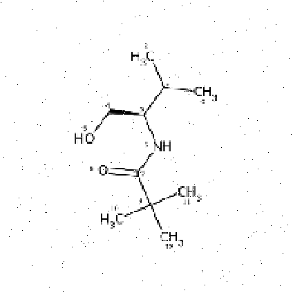 CC(C)[C@H](CO)NC(=O)C(C)(C)C